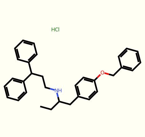 CCC(Cc1ccc(OCc2ccccc2)cc1)NCCC(c1ccccc1)c1ccccc1.Cl